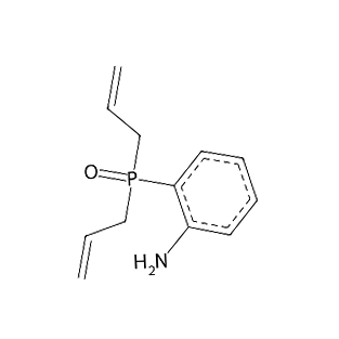 C=CCP(=O)(CC=C)c1ccccc1N